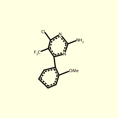 COc1ccccc1-c1nc(N)nc(Cl)c1C(F)(F)F